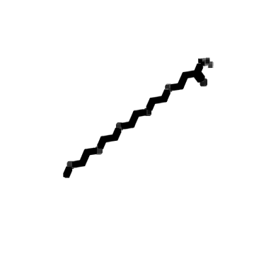 COCCOCCOCCOCCOCCC(N)=O